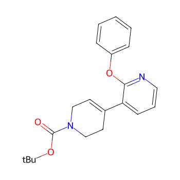 CC(C)(C)OC(=O)N1CC=C(c2cccnc2Oc2ccccc2)CC1